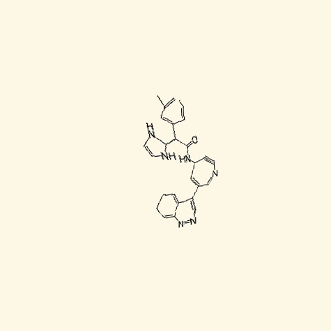 C=C(C)/C=C(\C=C/C)C(C(=O)NC1C#CN=CC(c2cnnc3c2=CCCC=3)=C1)C1NC=CN1